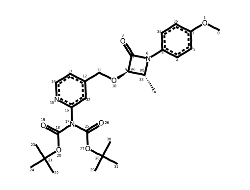 COc1ccc(N2C(=O)[C@H](OCc3ccnc(N(C(=O)OC(C)(C)C)C(=O)OC(C)(C)C)c3)[C@H]2C)cc1